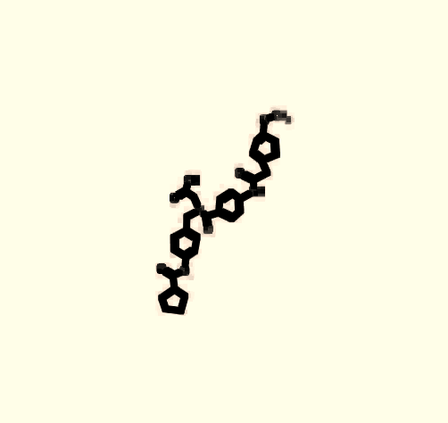 COc1ccc(CC(=O)Nc2ccc(C(=O)N(CC(=O)O)Cc3ccc(OC(=O)C4CCCC4)cc3)cc2)cc1